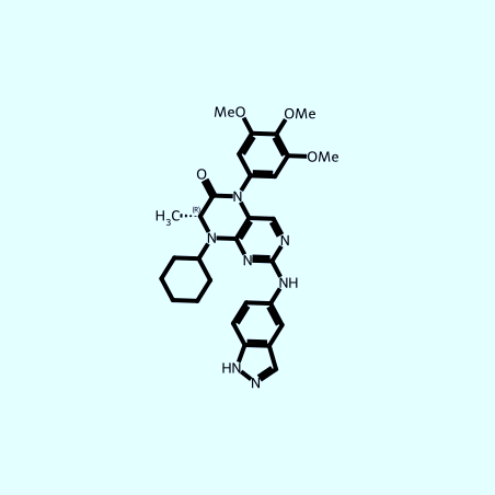 COc1cc(N2C(=O)[C@@H](C)N(C3CCCCC3)c3nc(Nc4ccc5[nH]ncc5c4)ncc32)cc(OC)c1OC